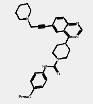 CC(C)Oc1ccc(NC(=O)N2CCC(c3ncnc4ccc(C#CCN5CCCCC5)cc34)CC2)cc1